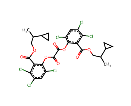 CC(COC(=O)c1c(Cl)c(Cl)cc(Cl)c1OC(=O)C(=O)Oc1c(Cl)cc(Cl)c(Cl)c1C(=O)OCC(C)C1CC1)C1CC1